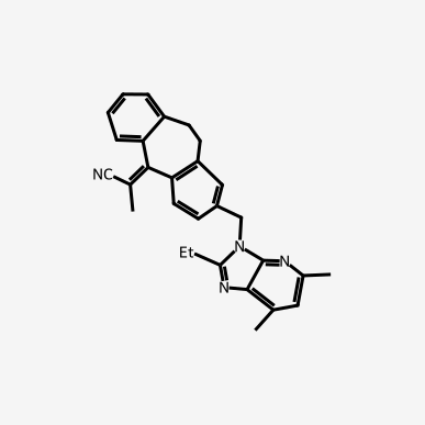 CCc1nc2c(C)cc(C)nc2n1Cc1ccc2c(c1)CCc1ccccc1/C2=C(/C)C#N